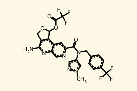 Cn1cc(N(Cc2ccc(C(F)(F)F)cc2)C(=O)c2cc3c4c(c(N)nc3cn2)COC4OC(=O)C(F)(F)F)cn1